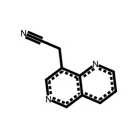 N#CCc1cncc2cccnc12